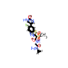 CS(=O)(=O)C(C(=O)NCC(=O)NC1CC1)c1nc2cc(F)c(-c3cnc(=O)[nH]c3)cc2s1